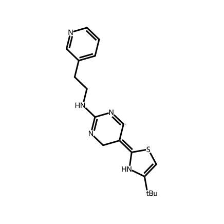 CC(C)(C)C1=CSC(=C2[C]=NC(NCCc3cccnc3)=NC2)N1